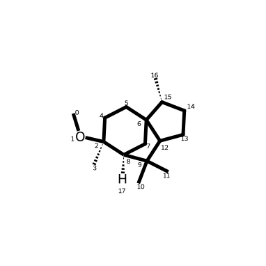 CO[C@@]1(C)CCC23C[C@H]1C(C)(C)C2CC[C@H]3C